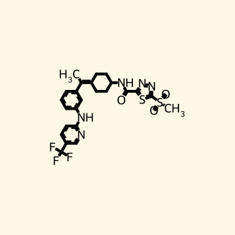 CC(=C1CCC(NC(=O)c2nnc(S(C)(=O)=O)s2)CC1)c1cccc(Nc2ccc(C(F)(F)F)cn2)c1